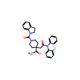 CC(=O)C1(CC(=O)N(c2ccccc2)c2ccccc2F)CCN(C(=O)N2CCc3ccccc32)CC1